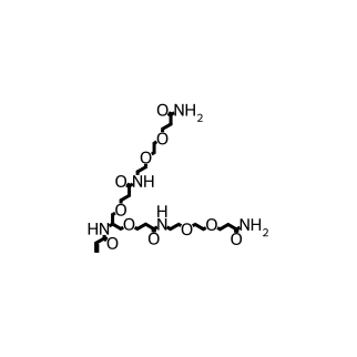 C=CC(=O)NC(COCCC(=O)NCCOCCOCCC(N)=O)COCCC(=O)NCCOCCOCCC(N)=O